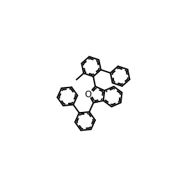 Cc1cccc(-c2ccccc2)c1-c1oc(-c2ccccc2-c2ccccc2)c2ccccc12